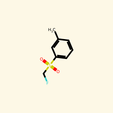 Cc1cccc(S(=O)(=O)CF)c1